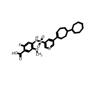 COc1cc(C(=O)O)c(F)cc1NS(=O)(=O)c1cncc(C2=CCCC(C3CCCCCC3)CC2)c1